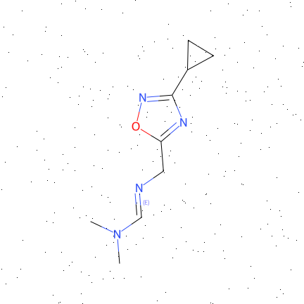 CN(C)/C=N/Cc1nc(C2CC2)no1